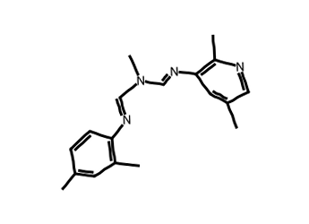 Cc1ccc(N=CN(C)C=Nc2cc(C)cnc2C)c(C)c1